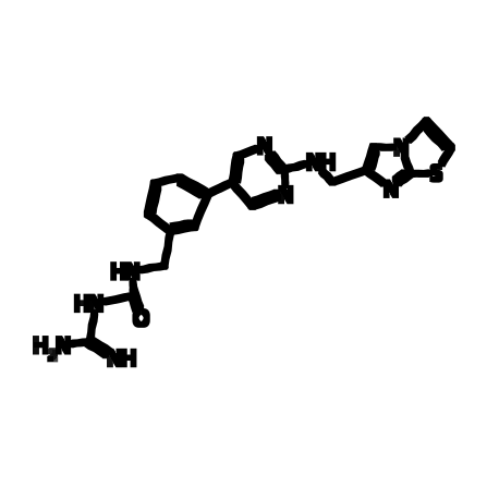 N=C(N)NC(=O)NCc1cccc(-c2cnc(NCc3cn4ccsc4n3)nc2)c1